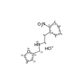 Cl.O=[N+]([O-])c1ccccc1CCNCc1ccco1